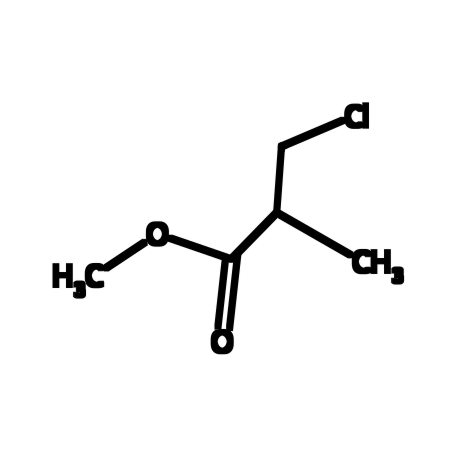 COC(=O)C(C)CCl